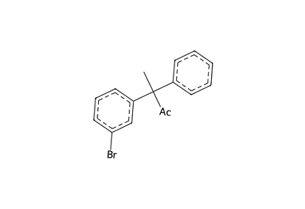 CC(=O)C(C)(c1ccccc1)c1cccc(Br)c1